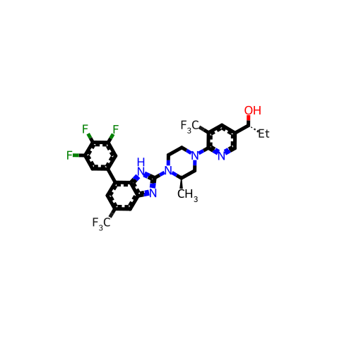 CC[C@@H](O)c1cnc(N2CCN(c3nc4cc(C(F)(F)F)cc(-c5cc(F)c(F)c(F)c5)c4[nH]3)[C@H](C)C2)c(C(F)(F)F)c1